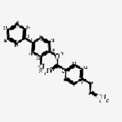 C=CCc1ccc(C(=O)Oc2ccc(-c3ccccc3)cc2Cl)cc1